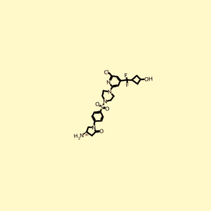 N[C@@H]1CC(=O)N(c2ccc(S(=O)(=O)N3CCN(c4cc(C(F)(F)C5CC(O)C5)cc(Cl)n4)CC3)cc2)C1